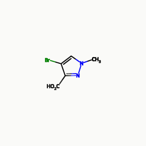 Cn1cc(Br)c(C(=O)O)n1